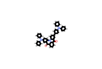 O=c1c2cc(-c3ccc(N(c4ccccc4)c4ccccc4)cc3)ccc2n2c3ccc(N(c4ccccc4)c4ccccc4)cc3c(=O)c3cccc1c32